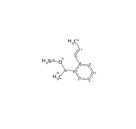 CC=Cc1ccccc1C(C)O[SiH3]